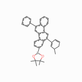 CC1C=C(c2cc3c4ccccc4c(-c4ccccc4)cc3c3ccc(B4OC(C)(C)C(C)(C)O4)cc23)C=CC1